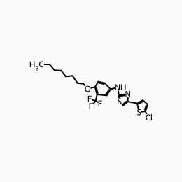 CCCCCCCCOc1ccc(Nc2nc(-c3ccc(Cl)s3)cs2)cc1C(F)(F)F